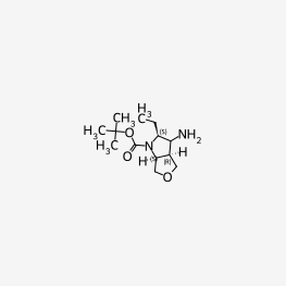 CC[C@H]1C(N)[C@H]2COC[C@H]2N1C(=O)OC(C)(C)C